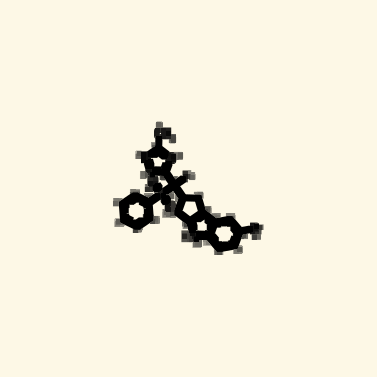 Cc1nnc(C(F)(C2Cc3[nH]c4ccc(Br)cc4c3C2)S(=O)(=O)c2ccccc2)o1